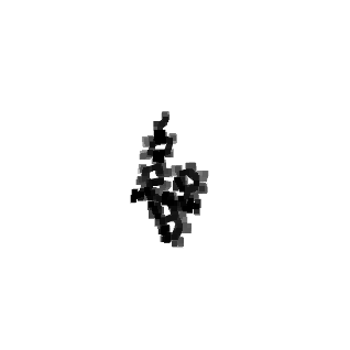 CCN1CCN(c2ccc(Nc3nc(Nc4ccccn4)c4ccsc4n3)cc2)CC1